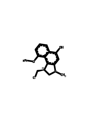 CCCOc1cccc2c(O)cc3c(c12)[C@H](CCl)CN3C